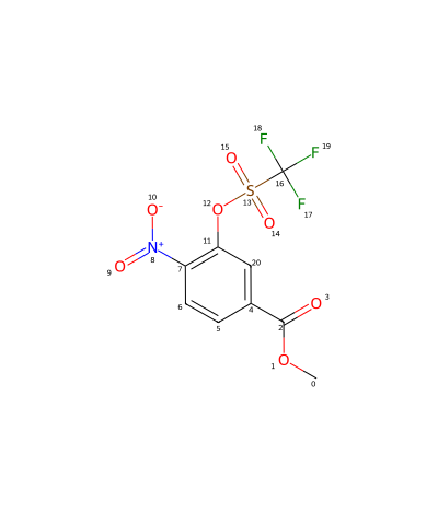 COC(=O)c1ccc([N+](=O)[O-])c(OS(=O)(=O)C(F)(F)F)c1